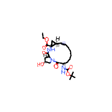 CCOC(=O)[C@@]12C[C@H]1/C=C\CCCCC[C@H](NC(=O)OC(C)(C)C)C(=O)N1C[C@H](O)C[C@H]1C(=O)N2